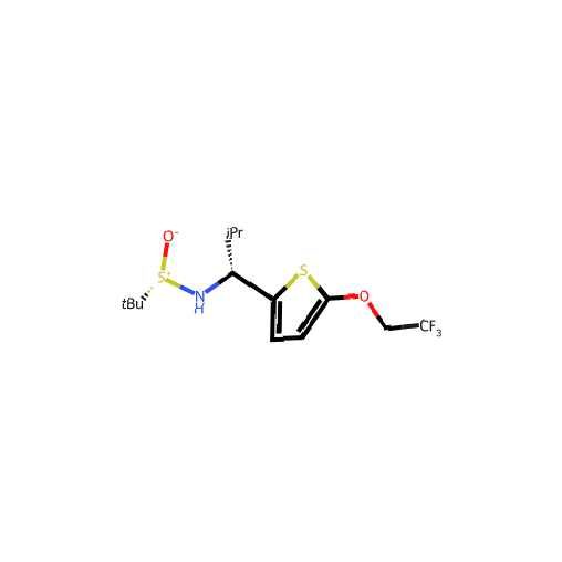 CC(C)[C@@H](N[S@@+]([O-])C(C)(C)C)c1ccc(OCC(F)(F)F)s1